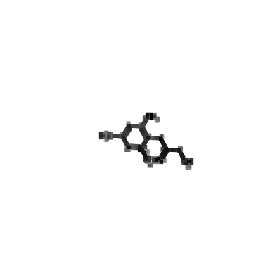 Cc1cc(C)c(CC(=N)CO)[n+]([O-])c1